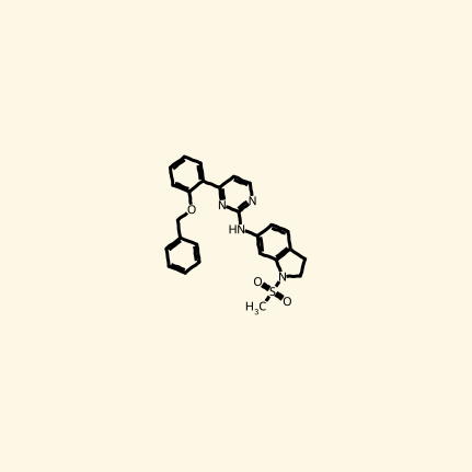 CS(=O)(=O)N1CCc2ccc(Nc3nccc(-c4ccccc4OCc4ccccc4)n3)cc21